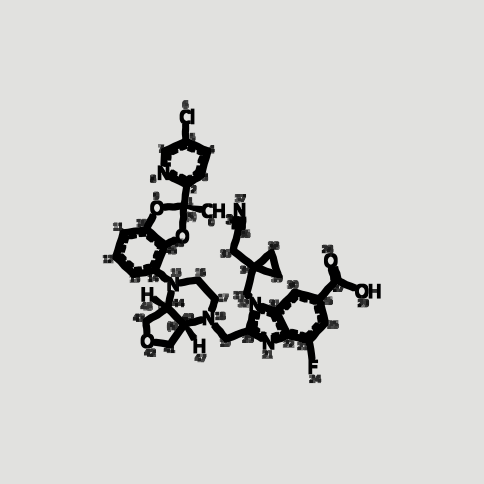 C[C@]1(c2ccc(Cl)cn2)Oc2cccc(N3CCN(Cc4nc5c(F)cc(C(=O)O)cc5n4CC4(CC#N)CC4)[C@@H]4COC[C@@H]43)c2O1